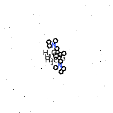 CC1(C)c2cc(N(C3=CC=CCC3)c3cccc4ccccc34)ccc2-c2c1c1c(c3ccccc23)-c2ccc(N(c3ccccc3)c3cccc4ccccc34)cc2C1(C)C